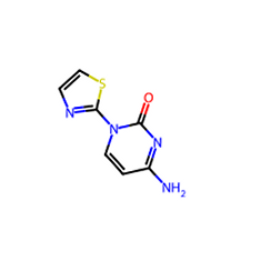 Nc1ccn(-c2nccs2)c(=O)n1